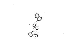 O=C(CC1CC(=O)c2ccccc21)OCCc1cccc2ccccc12